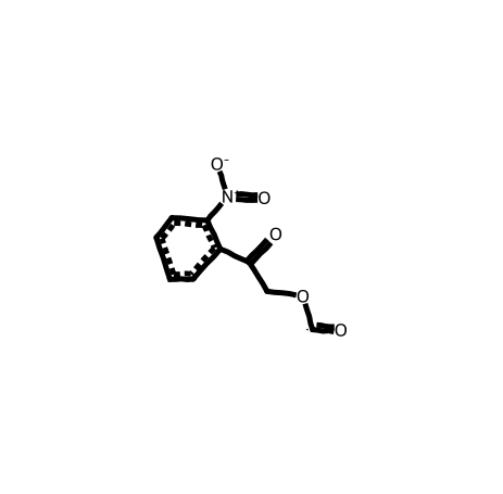 O=[C]OCC(=O)c1ccccc1[N+](=O)[O-]